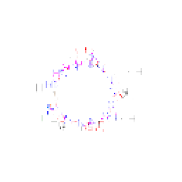 CCCC[C@H]1C(=O)N2C[C@@H](O)C[C@@H]2C(=O)N[C@@H](CC(=O)O)C(=O)N[C@@H](C(C)C)C(=O)N(C)[C@@H](Cc2ccccc2)C(=O)N[C@@H](CCC(=O)O)C(=O)N2CCCC[C@@H]2C(=O)N[C@@H](Cc2c[nH]c3ccccc23)C(=O)N[C@@H](Cc2ccc(O)cc2)C(=O)N[C@@H](CC(C)C)C(=O)N[C@H](C)CSCC(=O)N[C@@H](Cc2cc(F)c(F)c(F)c2)C(=O)N(C)[C@@H](Cc2ccc(F)cc2)C(=O)N1C